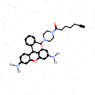 C#CCCCCC(=O)N1CCN(C(=O)c2ccccc2-c2c3ccc(=[N+](CC)CC)cc-3oc3cc(N(CC)CC)ccc23)CC1